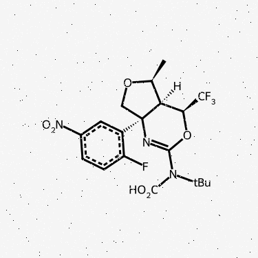 C[C@@H]1OC[C@]2(c3cc([N+](=O)[O-])ccc3F)N=C(N(C(=O)O)C(C)(C)C)O[C@H](C(F)(F)F)[C@H]12